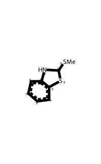 CS[C]1Nc2ccccc2S1